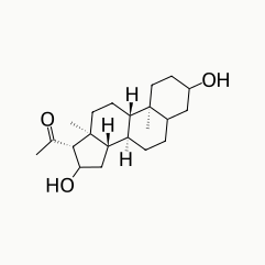 CC(=O)[C@H]1C(O)C[C@H]2[C@@H]3CCC4CC(O)CC[C@]4(C)[C@H]3CC[C@]12C